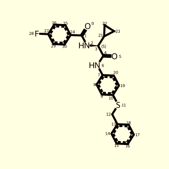 O=C(N[C@H](C(=O)Nc1ccc(SCc2ccccc2)cc1)C1CC1)c1ccc(F)cc1